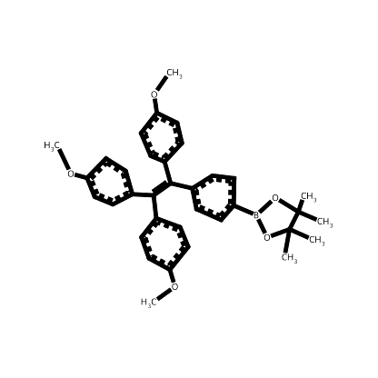 COc1ccc(C(=C(c2ccc(OC)cc2)c2ccc(B3OC(C)(C)C(C)(C)O3)cc2)c2ccc(OC)cc2)cc1